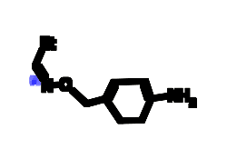 CC/C=N\OCC1=CC=C(N)CC1